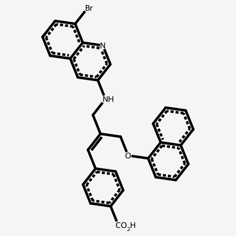 O=C(O)c1ccc(C=C(CNc2cnc3c(Br)cccc3c2)COc2cccc3ccccc23)cc1